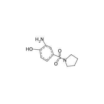 Nc1cc(S(=O)(=O)N2CCCC2)ccc1O